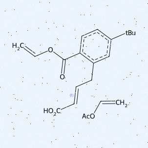 C=COC(=O)c1ccc(C(C)(C)C)cc1C/C=C/C(=O)O.C=COC(C)=O